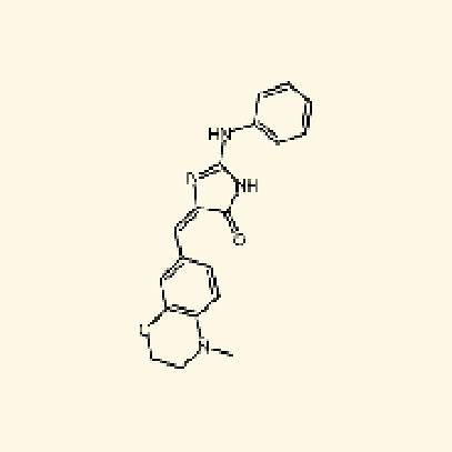 CN1CCOc2cc(C=C3N=C(Nc4ccccc4)NC3=O)ccc21